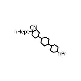 CCCCCCCC1(C#N)CCC(C2CCC(C3CCC(CCC)CC3)CC2)CC1